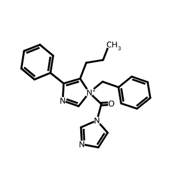 CCCC1=C(c2ccccc2)N=C[N+]1(Cc1ccccc1)C(=O)n1ccnc1